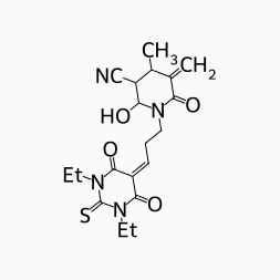 C=C1C(=O)N(CCC=C2C(=O)N(CC)C(=S)N(CC)C2=O)C(O)C(C#N)C1C